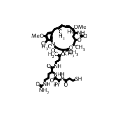 C=C(CCNC(=O)C(CCCNC(N)=O)NC(=O)C(NC(=O)CCS)C(C)C)OC1CC(=O)N(C)c2cc(cc(OC)c2Cl)C/C(C)=C/C=C/C(OC)C2(O)CC(OC(=O)N2)[C@H](C)OC1(C)C